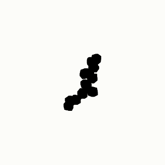 C1=Cc2c(c3ccccc3n2-c2ccc3c(c2)oc2ccccc23)C(c2cccc(N(c3ccccc3)c3ccc(-c4ccc5c(ccc6ccccc65)c4)cc3)c2)C1